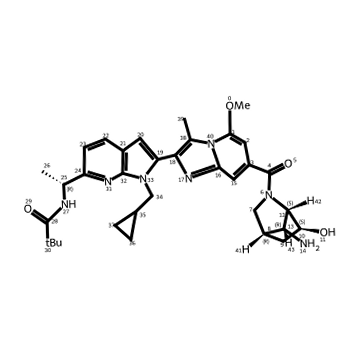 COc1cc(C(=O)N2C[C@H]3C[C@H](O)[C@@H]2[C@@H]3N)cc2nc(-c3cc4ccc([C@@H](C)NC(=O)C(C)(C)C)nc4n3CC3CC3)c(C)n12